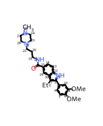 CCc1c(-c2ccc(OC)c(OC)c2)[nH]c2ccc(C(=O)NCCCN3CCN(C)CC3)cc12